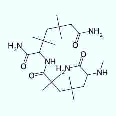 CNC(CC(C)(C)CC(C)(C)C(=O)NC(C(N)=O)C(C)(C)CC(C)(C)CC(N)=O)C(N)=O